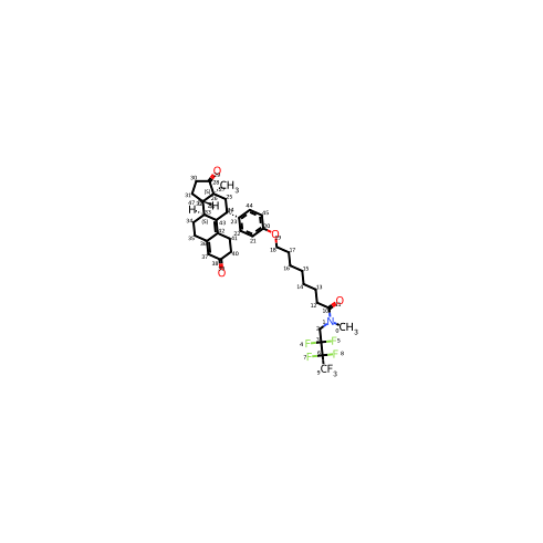 CN(CC(F)(F)C(F)(F)C(F)(F)F)C(=O)CCCCCCCOc1ccc([C@H]2C[C@]3(C)C(=O)CC[C@H]3[C@@H]3CCC4=CC(=O)CCC4=C32)cc1